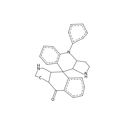 O=C1c2ccccc2C2(c3ccccc3N(c3ccccc3)C3CCNCC32)C2CNCCC12